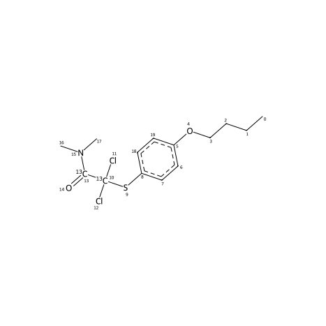 CCCCOc1ccc(S[13C](Cl)(Cl)[13C](=O)N(C)C)cc1